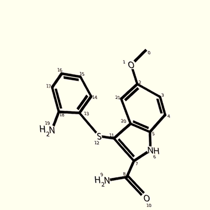 COc1ccc2[nH]c(C(N)=O)c(Sc3ccccc3N)c2c1